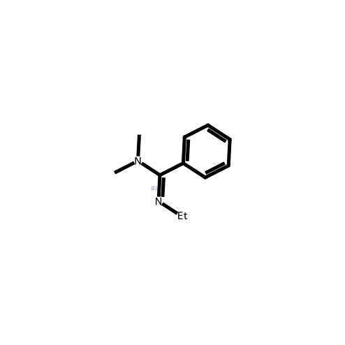 CC/N=C(\c1ccccc1)N(C)C